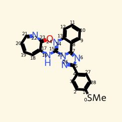 CSc1ccc(-c2nc3c4ccccc4nc(Nc4ccccnc4=O)n3n2)cc1